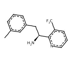 Cc1cccc(C[C@H](N)c2ncccc2C(F)(F)F)c1